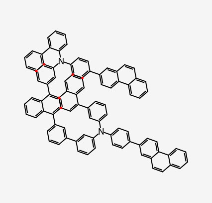 c1ccc(-c2ccccc2N(c2ccc(-c3ccc4c(ccc5ccccc54)c3)cc2)c2cccc(-c3ccc(-c4cccc(-c5cccc(N(c6ccc(-c7ccc8c(ccc9ccccc98)c7)cc6)c6cccc(-c7cccc8ccccc78)c6)c5)c4)c4ccccc34)c2)cc1